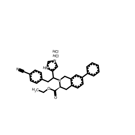 CCOC(=O)[C@@H]1Cc2ccc(-c3ccccc3)cc2CN1C(Cc1ccc(C#N)cc1)c1cnc[nH]1.Cl.Cl